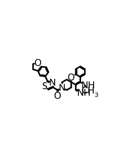 CNC1=C(C=N)C2(CCN(C(=O)c3csc(-c4ccc5c(c4)CCO5)n3)CC2)Oc2ccccc21